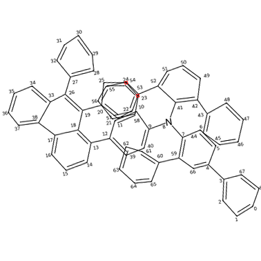 c1ccc(-c2ccc(N(c3ccc(-c4cccc5c4c(-c4ccccc4)c(-c4ccccc4)c4ccccc45)cc3)c3c(-c4ccccc4)cccc3-c3ccccc3)c(-c3ccccc3)c2)cc1